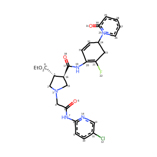 CCOC(=O)[C@H]1CN(CC(=O)Nc2ccc(Cl)cn2)C[C@@H]1C(=O)NC1=C(F)CC(n2ccccc2=O)C=C1